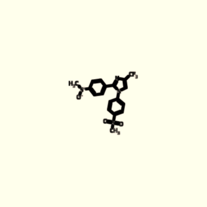 C[S+]([O-])c1ccc(-c2nc(C(F)(F)F)cn2-c2ccc(S(C)(=O)=O)cc2)cc1